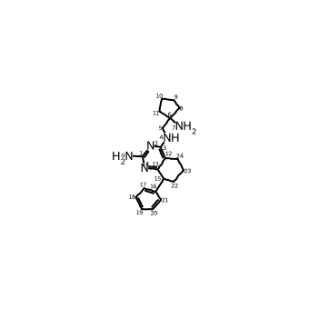 Nc1nc(NCC2(N)CCCC2)c2c(n1)C(c1ccccc1)CCC2